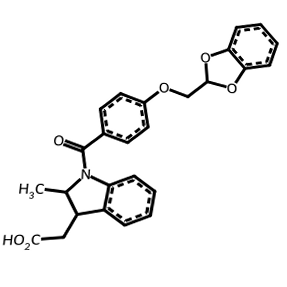 CC1C(CC(=O)O)c2ccccc2N1C(=O)c1ccc(OCC2Oc3ccccc3O2)cc1